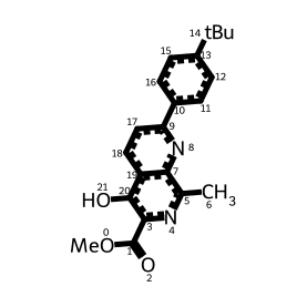 COC(=O)c1nc(C)c2nc(-c3ccc(C(C)(C)C)cc3)ccc2c1O